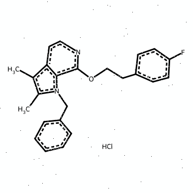 Cc1c(C)n(Cc2ccccc2)c2c(OCCc3ccc(F)cc3)nccc12.Cl